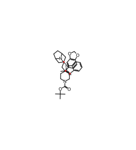 Cc1nc2ccccc2n1C1CC2CCC(C1)N2CCC1(c2ccc3c(c2)OCO3)CCN(C(=O)OC(C)(C)C)CC1